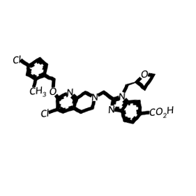 Cc1cc(Cl)ccc1COc1nc2c(cc1Cl)CCN(Cc1nc3ccc(C(=O)O)cc3n1C[C@@H]1CCO1)C2